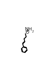 NOCCCC=Cc1ccccc1